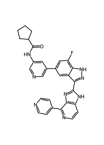 O=C(Nc1cncc(-c2cc(F)c3[nH]nc(-c4nc5c(-c6ccncc6)nccc5[nH]4)c3c2)c1)C1CCCC1